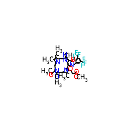 CCC1=C(C)c2cc3[nH]c(cc4nc(c5c6[nH]c(cc1n2)c(C)c6C(=O)N(Cc1cc(C(F)(F)F)cc(C(F)(F)F)c1)C5=O)[C@@H](CCC(=O)OC)[C@@H]4C)c(C)c3C(C)=O